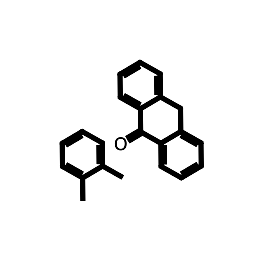 Cc1ccccc1C.O=C1c2ccccc2Cc2ccccc21